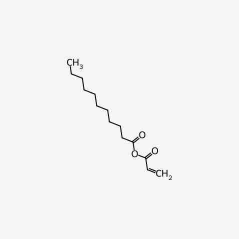 C=CC(=O)OC(=O)CCCCCCCCCC